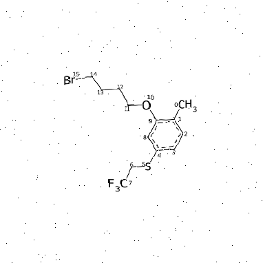 Cc1ccc(SCC(F)(F)F)cc1OCCCCBr